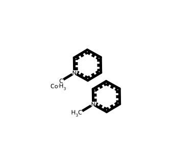 C[n+]1ccccc1.C[n+]1ccccc1.[Co]